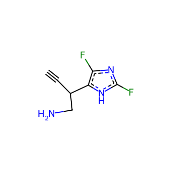 C#CC(CN)c1[nH]c(F)nc1F